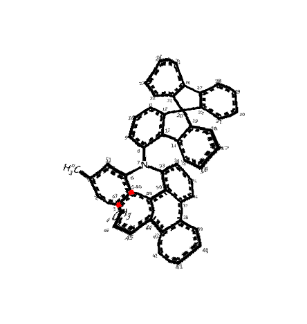 Cc1cc(C)cc(N(c2cccc3c2-c2ccccc2C32c3ccccc3-c3ccccc32)c2cccc3c4ccccc4c4ccccc4c23)c1